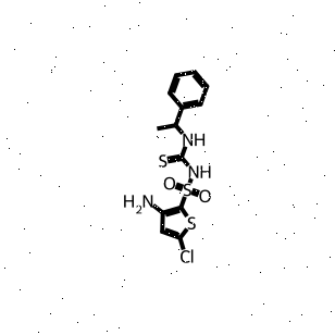 CC(NC(=S)NS(=O)(=O)c1sc(Cl)cc1N)c1ccccc1